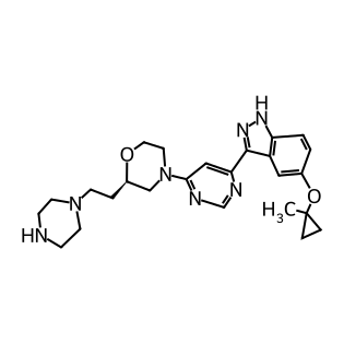 CC1(Oc2ccc3[nH]nc(-c4cc(N5CCO[C@H](CCN6CCNCC6)C5)ncn4)c3c2)CC1